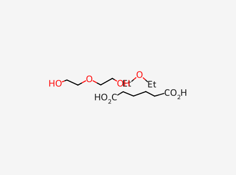 CCOCC.O=C(O)CCCCC(=O)O.OCCOCCO